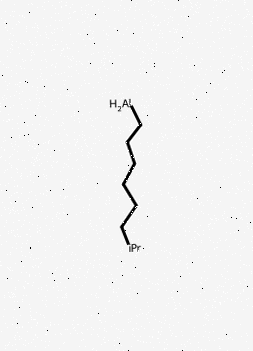 CC(C)CCCCC[CH2][AlH2]